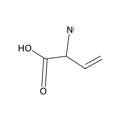 C=CC([N])C(=O)O